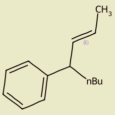 C/C=C/C(CCCC)c1ccccc1